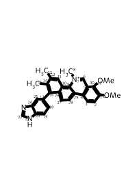 COc1ccc2c(c[n+](C)c3c4cc(C)c(C)c(-c5ccc6[nH]cnc6c5)c4ccc23)c1OC